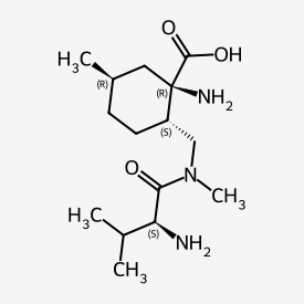 CC(C)[C@H](N)C(=O)N(C)C[C@@H]1CC[C@@H](C)C[C@]1(N)C(=O)O